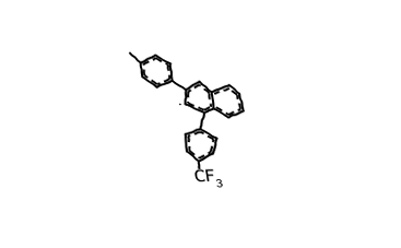 Cc1ccc(-c2[c]c(-c3ccc(C(F)(F)F)cc3)c3ccccc3c2)cc1